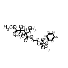 CCC(C)(CC(C)(C)C(=O)OC)C(=O)OCCOP(C)(=O)Oc1ccccc1